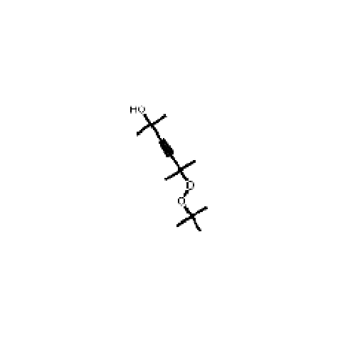 CC(C)(O)C#CC(C)(C)OOC(C)(C)C